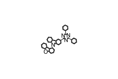 c1ccc(-c2nc(-c3ccccc3)nc(-c3ccc4c(c3)c3ccccc3n4-c3cccc4oc5ccccc5c34)n2)cc1